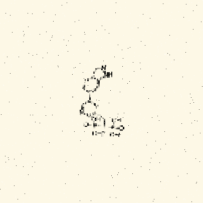 O=P(O)(O)C(F)(Cc1cncc(-c2ccc3cn[nH]c3c2)c1)P(=O)(O)O